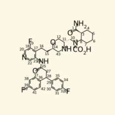 NC(=O)[C@H]1CCCCC1N(C[C@H]1CO[C@H](CCc2c(F)cncc2NC(=O)CC(c2ccc(F)cc2)c2ccc(F)cc2)CN1)C(=O)O